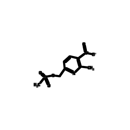 Cc1nc(COS(C)(=O)=O)ccc1[N+](=O)[O-]